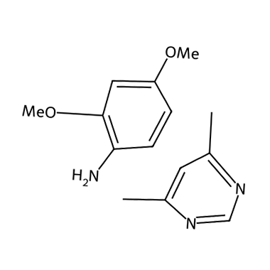 COc1ccc(N)c(OC)c1.Cc1cc(C)ncn1